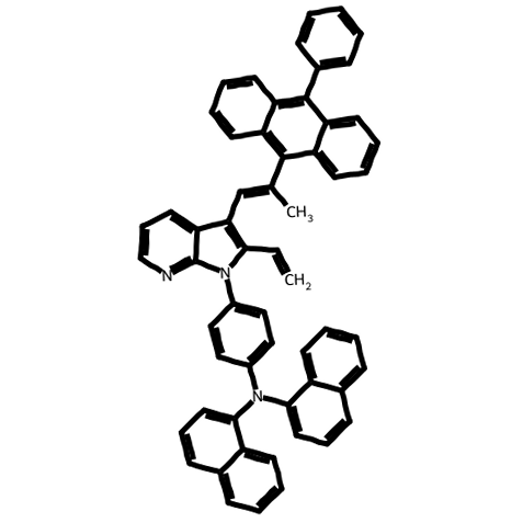 C=Cc1c(/C=C(\C)c2c3ccccc3c(-c3ccccc3)c3ccccc23)c2cccnc2n1-c1ccc(N(c2cccc3ccccc23)c2cccc3ccccc23)cc1